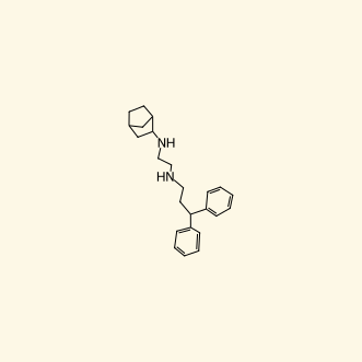 c1ccc(C(CCNCCNC2CC3CCC2C3)c2ccccc2)cc1